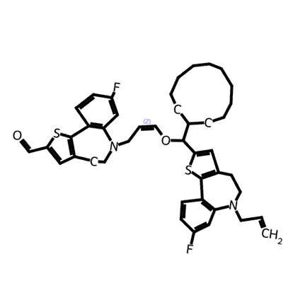 C=CCN1CCc2cc(C(O/C=C\CN3CCc4cc(C=O)sc4-c4ccc(F)cc43)C3CCCCCCCCCC3)sc2-c2ccc(F)cc21